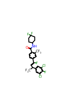 O=C(NC1CCC(F)(F)CC1)c1ccc(C(F)=CC(c2cc(Cl)c(F)c(Cl)c2)C(F)(F)F)cc1C(F)(F)F